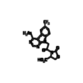 O=C(O)C1COC(=O)N1C(=O)Cn1c2ccc(C(F)(F)F)cc2c2c([AsH2])ncnc21